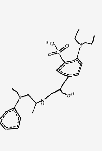 CCN(CC)c1ccc(C(O)CNC(C)CN(C)c2ccccc2)cc1S(N)(=O)=O